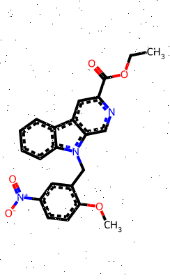 CCOC(=O)c1cc2c3ccccc3n(Cc3cc([N+](=O)[O-])ccc3OC)c2cn1